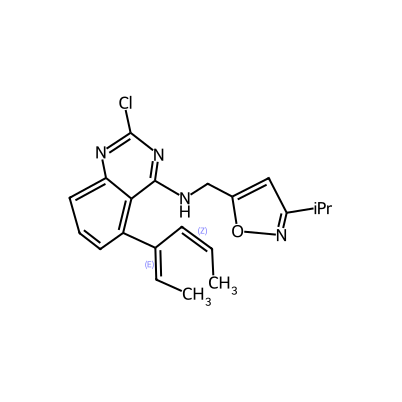 C/C=C\C(=C/C)c1cccc2nc(Cl)nc(NCc3cc(C(C)C)no3)c12